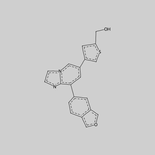 OCc1cc(-c2cc(-c3ccc4cocc4c3)c3nccn3c2)cs1